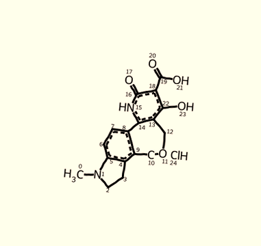 CN1CCc2c1ccc1c2COCc2c-1[nH]c(=O)c(C(=O)O)c2O.Cl